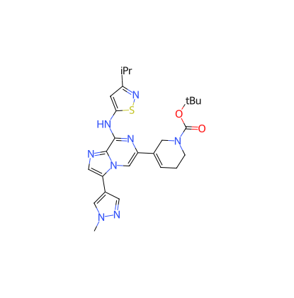 CC(C)c1cc(Nc2nc(C3=CCCN(C(=O)OC(C)(C)C)C3)cn3c(-c4cnn(C)c4)cnc23)sn1